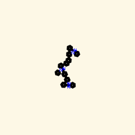 c1ccc(-n2c(-c3ccc(-c4ccc5c(c4)c4ccccc4c4nc6ccccc6n54)cc3)nc3c(-c4ccc5ccc(-c6ccc7c8ccccc8c8nc9ccccc9n8c7c6)cc5c4)cccc32)cc1